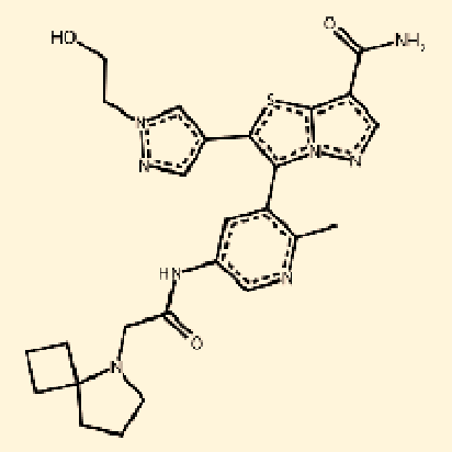 Cc1ncc(NC(=O)CN2CCCC23CCC3)cc1-c1c(-c2cnn(CCO)c2)sc2c(C(N)=O)cnn12